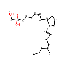 CCCC(C)CC/C=C/[C@H]1CCC[C@@H]1C/C=C\CCCC(O)(O)CO